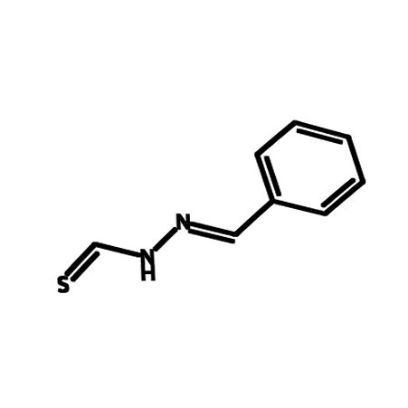 S=CNN=Cc1ccccc1